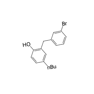 CCCCc1ccc(O)c(Cc2cccc(Br)c2)c1